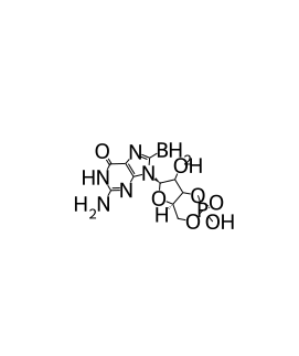 Bc1nc2c(=O)[nH]c(N)nc2n1[C@@H]1O[C@@H]2COP(=O)(O)OC2C1O